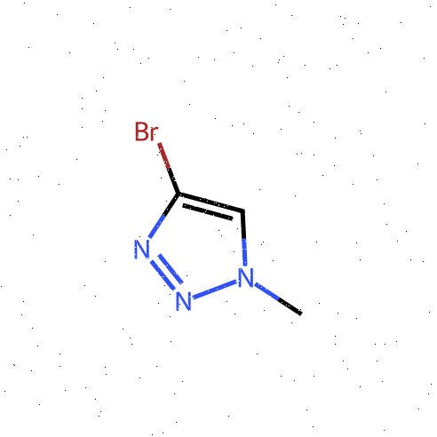 Cn1cc(Br)nn1